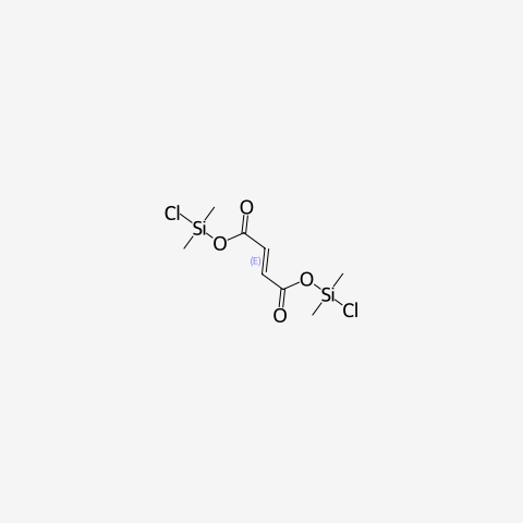 C[Si](C)(Cl)OC(=O)/C=C/C(=O)O[Si](C)(C)Cl